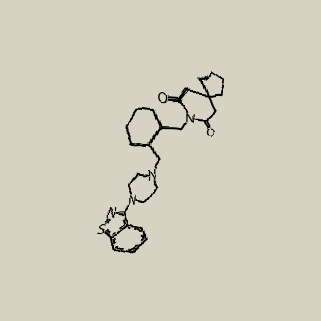 O=C1CC2(CCCC2)CC(=O)N1CC1CCCCC1CN1CCN(c2nsc3ccccc23)CC1